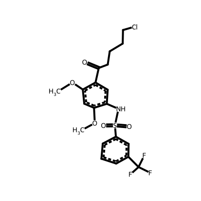 COc1cc(OC)c(C(=O)CCCCCl)cc1NS(=O)(=O)c1cccc(C(F)(F)F)c1